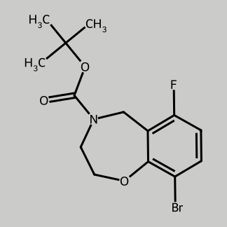 CC(C)(C)OC(=O)N1CCOc2c(Br)ccc(F)c2C1